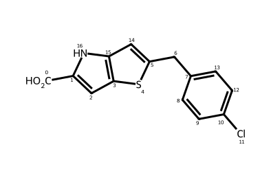 O=C(O)c1cc2sc(Cc3ccc(Cl)cc3)cc2[nH]1